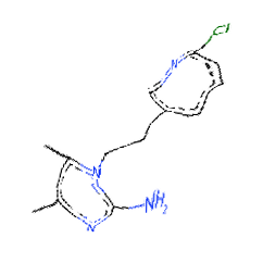 Cc1nc(N)n(CCc2ccc(Cl)nc2)c1C